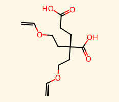 C=COCCC(CCOC=C)(CCC(=O)O)C(=O)O